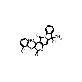 CC1(C)c2ccccc2-n2c1cc1oc(=O)c(Sc3ccccc3C(F)(F)F)c(O)c1c2=O